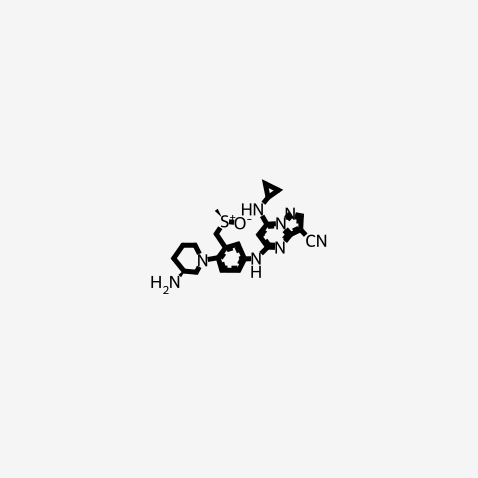 C[S@@+]([O-])Cc1cc(Nc2cc(NC3CC3)n3ncc(C#N)c3n2)ccc1N1CCC[C@H](N)C1